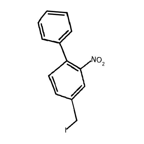 O=[N+]([O-])c1cc(CI)ccc1-c1ccccc1